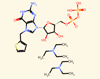 CCN(CC)CC.CCN(CC)CC.Nc1nc2c(c(=O)[nH]1)[n+](Cc1cccs1)cn2[C@@H]1O[C@H](COP(=O)([O-])OP(=O)(O)O)[C@@H](O)[C@H]1O